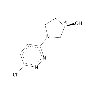 O[C@@H]1CCN(c2ccc(Cl)nn2)C1